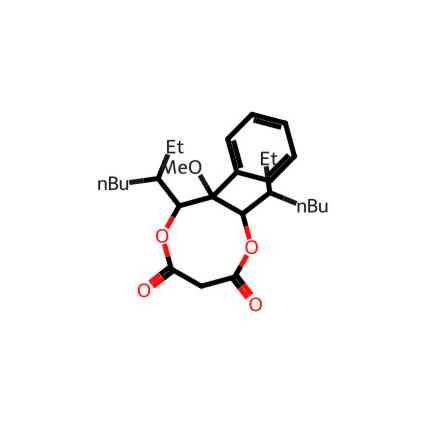 CCCCC(CC)C1OC(=O)CC(=O)OC(C(CC)CCCC)C1(OC)c1ccccc1